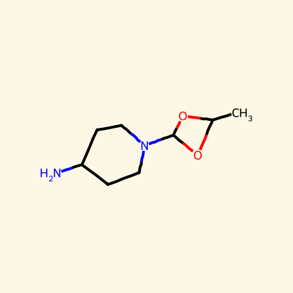 CC1OC(N2CCC(N)CC2)O1